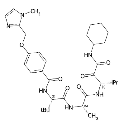 CC(C)[C@H](NC(=O)[C@H](C)NC(=O)[C@@H](NC(=O)c1ccc(OCc2nccn2C)cc1)C(C)(C)C)C(=O)C(=O)NC1CCCCC1